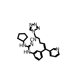 N#CN=C(Nc1cccc(/C(=C\CCCn2cnnn2)c2cccnc2)c1)NC1CCCC1